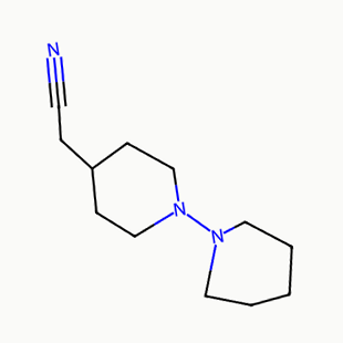 N#CCC1CCN(N2CCCCC2)CC1